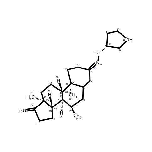 C[C@@H]1CC2C/C(=N/O[C@@H]3CCNC3)CC[C@]2(C)[C@H]2CC[C@]3(C)C(=O)CC[C@H]3[C@H]12